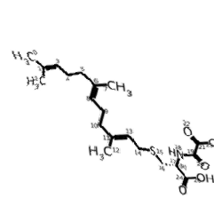 CC(C)=CCCC(C)=CCCC(C)=CCSC[C@H](NC(=O)C(=O)O)C(=O)O